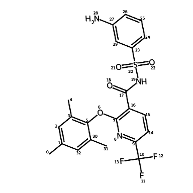 Cc1cc(C)c(Oc2nc(C(F)(F)F)ccc2C(=O)NS(=O)(=O)c2cccc(N)c2)c(C)c1